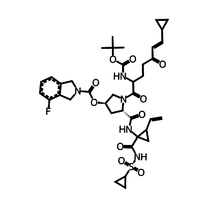 C=CC1CC1(NC(=O)[C@@H]1C[C@@H](OC(=O)N2Cc3cccc(F)c3C2)CN1C(=O)C(CCC(=O)/C=C/C1CC1)NC(=O)OC(C)(C)C)C(=O)NS(=O)(=O)C1CC1